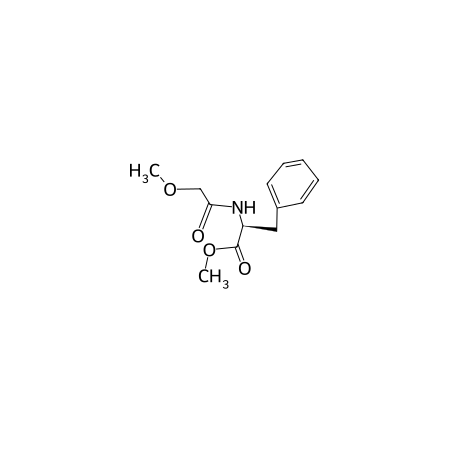 COCC(=O)N[C@@H](Cc1ccccc1)C(=O)OC